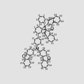 c1ccc2c(c1)-c1ccc(-c3ccc(N(c4ccc5oc6ccccc6c5c4)c4ccc5oc6ccccc6c5c4)cc3)cc1C21c2ccc3ccccc3c2Oc2c1ccc1ccccc21